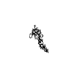 O=C(Nc1cnn(Cc2cnc(N3CCC3)nc2)c1)c1cncc(-c2c(C(F)F)ccc(Cl)c2F)n1